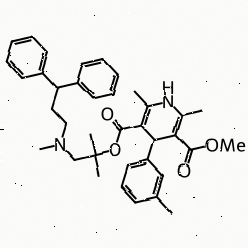 COC(=O)C1=C(C)NC(C)=C(C(=O)OC(C)(C)CN(C)CCC(c2ccccc2)c2ccccc2)C1c1cccc(C)c1